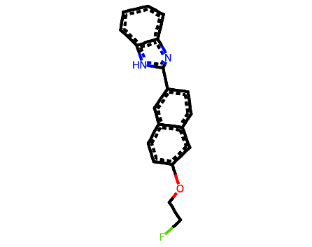 FCCOc1ccc2cc(-c3nc4ccccc4[nH]3)ccc2c1